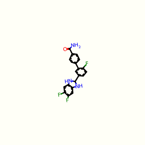 NC(=O)c1ccc(-c2cc(C3Nc4cc(F)c(F)cc4N3)ccc2F)cc1